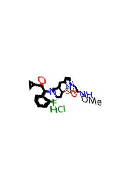 CONC(=O)Cn1ccc(C=C2CN(C(C(=O)C3CC3)c3ccccc3F)CCC2S)n1.Cl